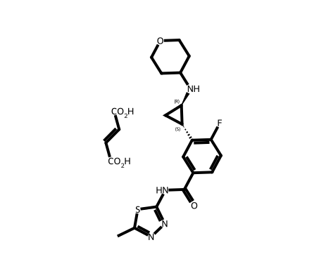 Cc1nnc(NC(=O)c2ccc(F)c([C@@H]3C[C@H]3NC3CCOCC3)c2)s1.O=C(O)C=CC(=O)O